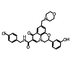 O=C(NCc1ccc(Cl)cc1)c1cn2c3c(cc(CN4CCOCC4)cc3c1=O)OC(c1cccc(O)c1)C2